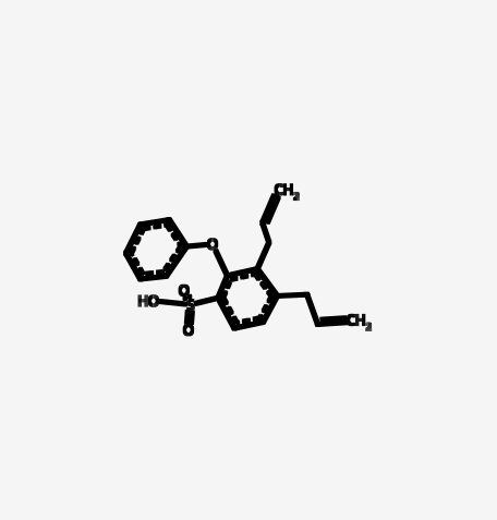 C=CCc1ccc(S(=O)(=O)O)c(Oc2ccccc2)c1CC=C